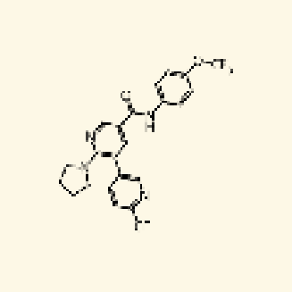 O=C(Nc1ccc(OC(F)(F)F)cc1)c1cnc(N2CCCC2)c(-c2ccc(C(F)(F)F)nc2)c1